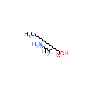 CCCCCCCCCCCCCCCCC(=O)O.CCCCCNN